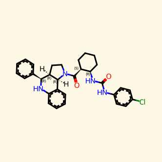 O=C(Nc1ccc(Cl)cc1)N[C@@H]1CCCC[C@@H]1C(=O)N1CC[C@@H]2[C@H](c3ccccc3)Nc3ccccc3[C@@H]21